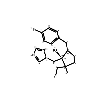 CC1(CCl)CC[C@H](Cc2ccc(F)cc2)[C@@]1(O)Cn1cncn1